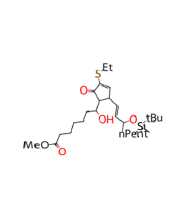 CCCCCC(C=CC1C=C(SCC)C(=O)C1C(O)CCCCCC(=O)OC)O[Si](C)(C)C(C)(C)C